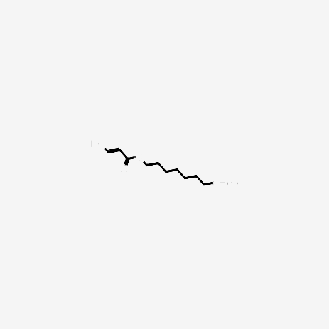 CC=CC(=O)OCCCCCCCCCCCCCC